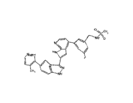 Cc1ccncc1-c1ccc2[nH]nc(-c3cc4c(-c5cc(F)cc(CNS(C)(=O)=O)c5)ccnc4[nH]3)c2c1